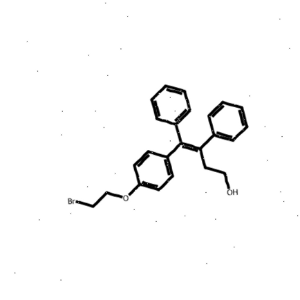 OCC/C(=C(/c1ccccc1)c1ccc(OCCBr)cc1)c1ccccc1